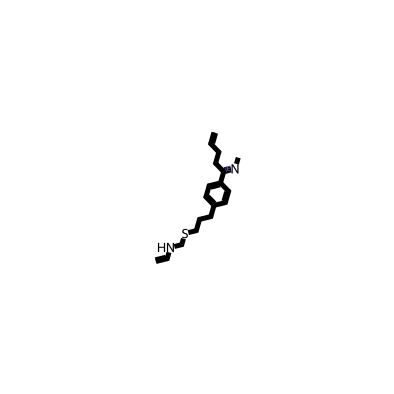 C=CCC/C(=N\C)c1ccc(CCCSCNC=C)cc1